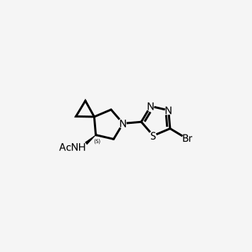 CC(=O)N[C@@H]1CN(c2nnc(Br)s2)CC12CC2